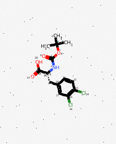 CC(C)(C)OC(=O)N[C@H](Cc1ccc(Cl)c(Cl)c1)C(=O)O